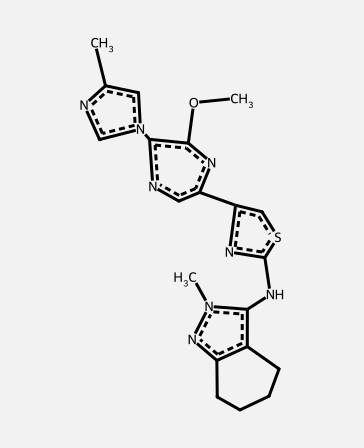 COc1nc(-c2csc(Nc3c4c(nn3C)CCCC4)n2)cnc1-n1cnc(C)c1